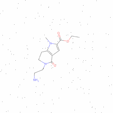 CCOC(=O)c1cc2c(n1C)CCN(CCN)C2=O